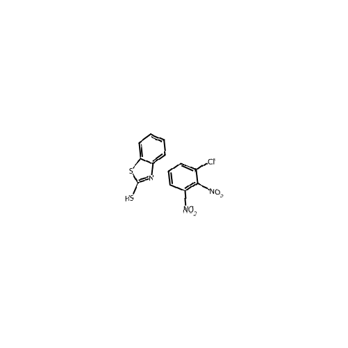 O=[N+]([O-])c1cccc(Cl)c1[N+](=O)[O-].Sc1nc2ccccc2s1